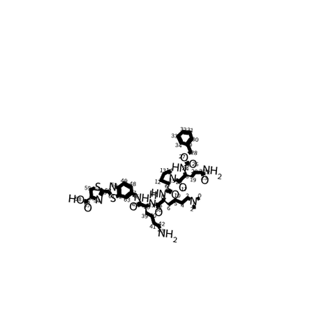 CN(C)CCCC[C@H](NC(=O)[C@@H]1CCCN1C(=O)[C@H](CCC(N)=O)NC(=O)OCc1ccccc1)C(=O)N[C@@H](CCCCN)C(=O)Nc1ccc2nc(C3=N[C@@H](C(=O)O)CS3)sc2c1